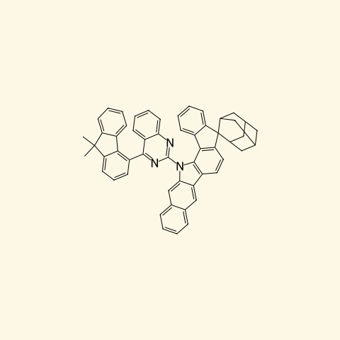 CC1(C)c2ccccc2-c2c(-c3nc(-n4c5cc6ccccc6cc5c5ccc6c(c54)-c4ccccc4C64C5CC6CC(C5)CC4C6)nc4ccccc34)cccc21